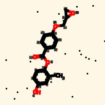 Cc1cc(O)ccc1OC(=O)c1ccc(OCC2CO2)cc1